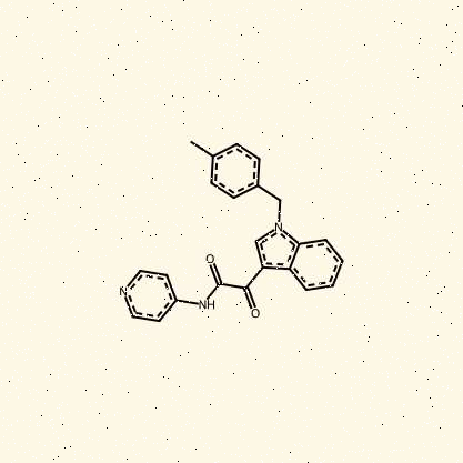 Cc1ccc(Cn2cc(C(=O)C(=O)Nc3ccncc3)c3ccccc32)cc1